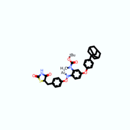 CC(=O)N(Oc1ccc(CC2SC(=O)NC2=O)cc1)c1ccc(Oc2ccc(C34CC5CC(CC(C5)C3)C4)cc2)cc1N(C)C(=O)OC(C)(C)C